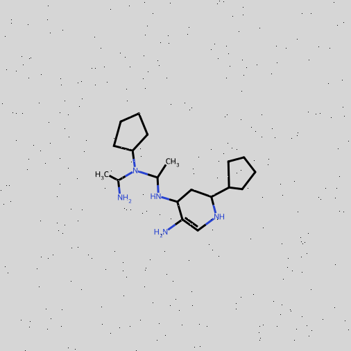 CC(N)N(C1CCCC1)C(C)NC1CC(C2CCCC2)NC=C1N